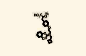 CCOC(Cc1ccc(OCCN(CC2CCC2)C(=O)Oc2ccccc2Cl)cc1)C(=O)O